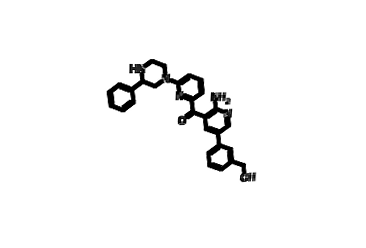 Nc1ncc(-c2cccc(CO)c2)cc1C(=O)c1cccc(N2CCNC(c3ccccc3)C2)n1